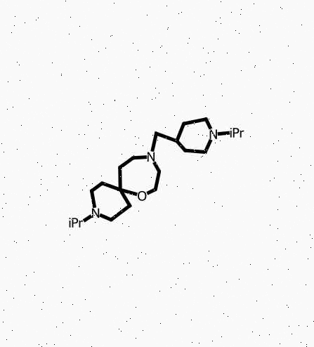 CC(C)N1CCC(CN2CCOC3(CC2)CCN(C(C)C)CC3)CC1